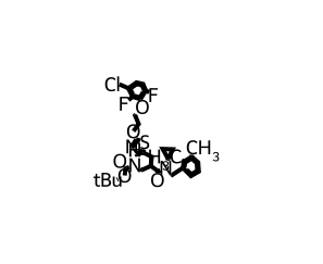 Cc1cccc(CN(C(=O)C(CNC(=O)OC(C)(C)C)Cc2cnc(OCCOc3c(F)ccc(Cl)c3F)s2)C2CC2)c1C